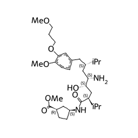 COCCCOc1cc(C[C@@H](C[C@H](N)[C@@H](O)C[C@H](C(=O)N[C@H]2CC[C@@H](C(=O)OC)C2)C(C)C)C(C)C)ccc1OC